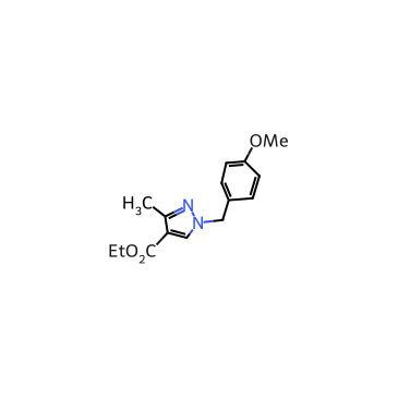 CCOC(=O)c1cn(Cc2ccc(OC)cc2)nc1C